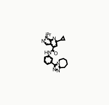 CC(C)n1ncc2c(C(=O)Nc3cccc(-c4nnc5n4CCCCC5)c3)cc(C3CC3)nc21